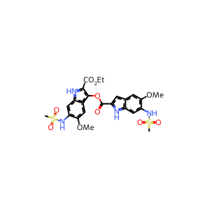 CCOC(=O)c1[nH]c2cc(NS(C)(=O)=O)c(OC)cc2c1OC(=O)c1cc2cc(OC)c(NS(C)(=O)=O)cc2[nH]1